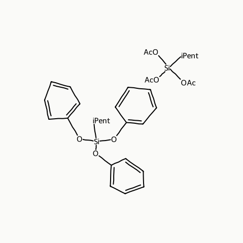 CCCC(C)[Si](OC(C)=O)(OC(C)=O)OC(C)=O.CCCC(C)[Si](Oc1ccccc1)(Oc1ccccc1)Oc1ccccc1